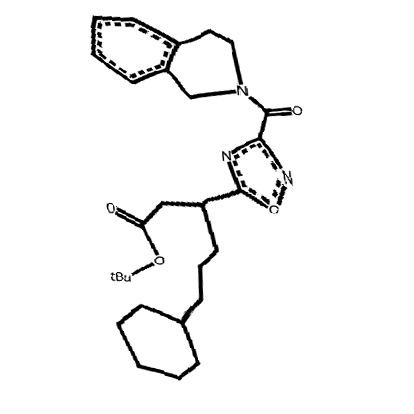 CC(C)(C)OC(=O)CC(CCCC1CCCCC1)c1nc(C(=O)N2CCc3ccccc3C2)no1